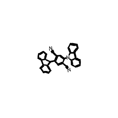 N#Cc1cc(-n2c3ccccc3c3ccccc32)c(C#N)cc1C1c2ccccc2-c2ccccc21